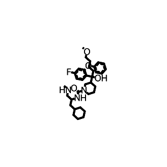 CNCC(CC1CCCCC1)NC(=O)N1CCCC(C(O)(CCCCOC)c2ccc(F)cc2Oc2ccccc2)C1